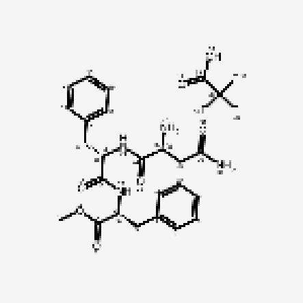 COC(=O)[C@H](Cc1ccccc1)NC(=O)[C@H](Cc1ccccc1)NC(=O)[C@@H](N)CC(N)=O.O=C(O)C(F)(F)F